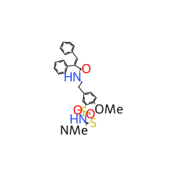 CNC(=S)NS(=O)(=O)c1cc(CCNC(=O)C(=Cc2ccccc2)c2ccccc2)ccc1OC